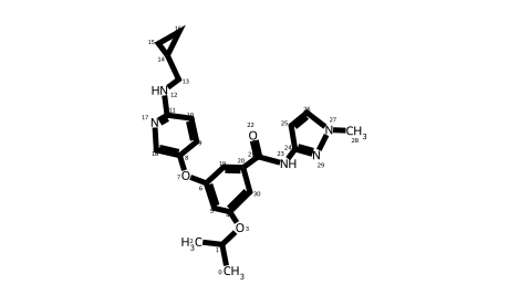 CC(C)Oc1cc(Oc2ccc(NCC3CC3)nc2)cc(C(=O)Nc2ccn(C)n2)c1